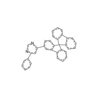 c1ccc(-c2cc(-c3ccc4c(c3)-c3ccccc3C43c4ccccc4-c4ccccc43)ncn2)cc1